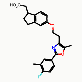 Cc1cc(-c2nc(CCOc3ccc4c(c3)CCC4CC(=O)O)c(C)o2)ccc1F